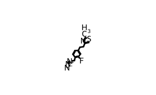 Cc1nc(CCc2ccc(CN=[N+]=[N-])c(F)c2)cs1